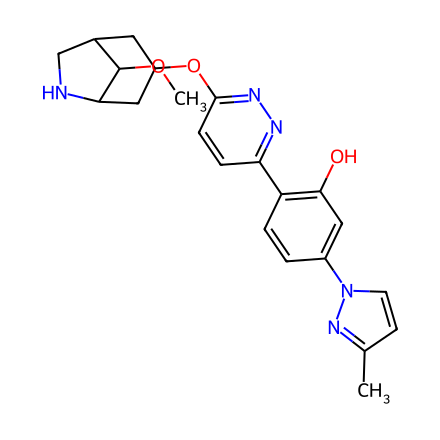 COC1C2CNC1CC(Oc1ccc(-c3ccc(-n4ccc(C)n4)cc3O)nn1)C2